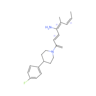 C=C(/C=C/C(N)=C(C)\C=C/C)N1CCC(c2ccc(F)cc2)CC1